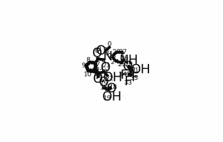 CC(=O)N(CC(=O)c1cccc2c1C2(OOCC(=O)O)C(=O)O)C1CCNCC1.O=C(O)C(F)(F)F